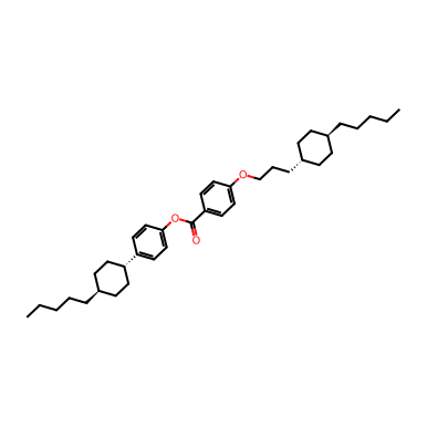 CCCCC[C@H]1CC[C@H](CCCOc2ccc(C(=O)Oc3ccc([C@H]4CC[C@H](CCCCC)CC4)cc3)cc2)CC1